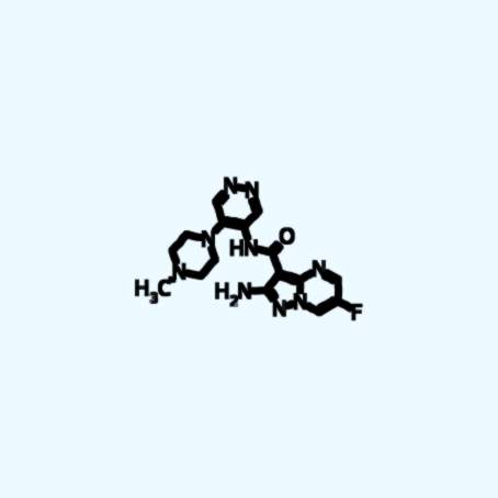 CN1CCN(c2cnncc2NC(=O)c2c(N)nn3cc(F)cnc23)CC1